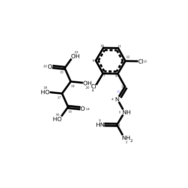 N=C(N)N/N=C/c1c(Cl)cccc1Cl.O=C(O)C(O)C(O)C(=O)O